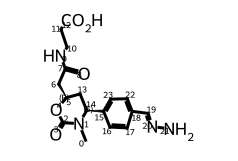 CN1C(=O)O[C@@H](CC(=O)NCCC(=O)O)C[C@H]1c1ccc(C=NN)cc1